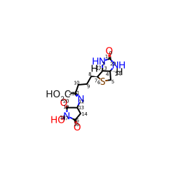 O=C1N[C@H]2[C@H](CS[C@H]2CCCC(=NC2CC(=O)N(O)C2=O)C(=O)O)N1